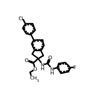 CCOC(=O)C1(NC(=O)Nc2ccc(F)cc2)Cc2ccc(-c3ccc(Cl)cc3)cc2C1